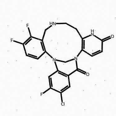 O=C1c2cc(Cl)c(F)cc2N2CN1c1ccc(=O)[nH]c1CCNCc1c2ccc(F)c1F